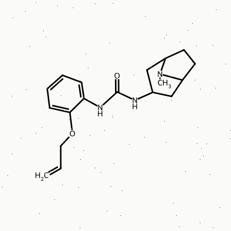 C=CCOc1ccccc1NC(=O)NC1CC2CCC(C1)N2C